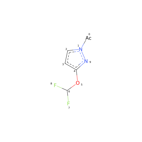 CC(=O)n1ccc(OC(F)F)n1